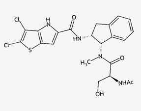 CC(=O)N[C@@H](CO)C(=O)N(C)[C@H]1c2ccccc2C[C@H]1NC(=O)c1cc2sc(Cl)c(Cl)c2[nH]1